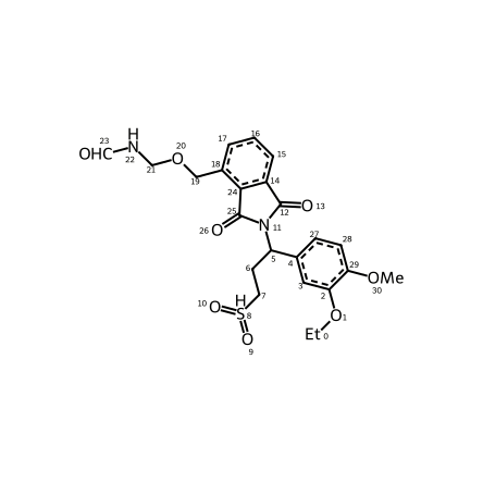 CCOc1cc(C(CC[SH](=O)=O)N2C(=O)c3cccc(COCNC=O)c3C2=O)ccc1OC